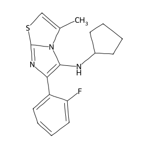 Cc1csc2nc(-c3ccccc3F)c(NC3CCCC3)n12